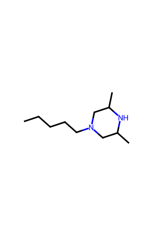 CCCCCN1CC(C)NC(C)C1